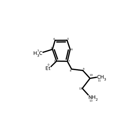 CCc1c(C)cccc1CCC(C)CN